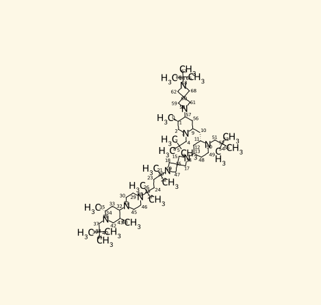 C[C@@H]1CN(CC(C)(C)C)C(C[C@H]2CC(N3CC4(C3)CN(C(C)(C)CCC(C)(C)N3CCN(C5C[C@@H](C)N(CC(C)(C)C)C[C@@H]5C)CC3)C4)CCN2CC(C)(C)C)CC1N1CC2(C1)CN(C(C)(C)C)C2